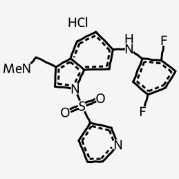 CNCc1cn(S(=O)(=O)c2cccnc2)c2cc(Nc3cc(F)ccc3F)ccc12.Cl